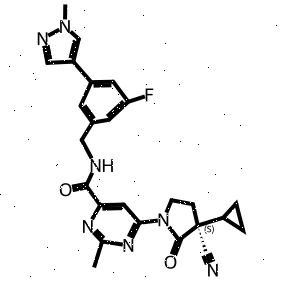 Cc1nc(C(=O)NCc2cc(F)cc(-c3cnn(C)c3)c2)cc(N2CC[C@@](C#N)(C3CC3)C2=O)n1